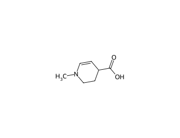 CN1C=CC(C(=O)O)CC1